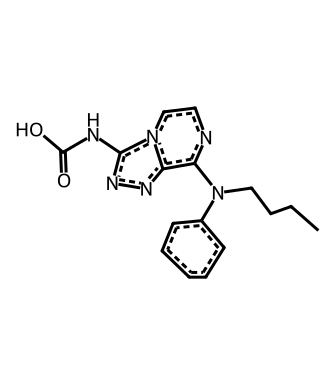 CCCCN(c1ccccc1)c1nccn2c(NC(=O)O)nnc12